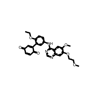 CCOc1ccc(Nc2ncnc3cc(OCCOC)c(OC)cc23)cc1C1=CC(=O)C=CC1=O